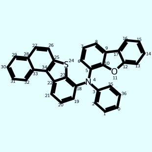 c1ccc(N(c2cccc3c2oc2ccccc23)c2cccc3c2sc2ccc4ccccc4c23)cc1